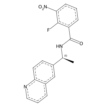 C[C@H](NC(=O)c1cccc([N+](=O)[O-])c1F)c1ccc2ncccc2c1